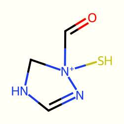 O=C[N+]1(S)CNC=N1